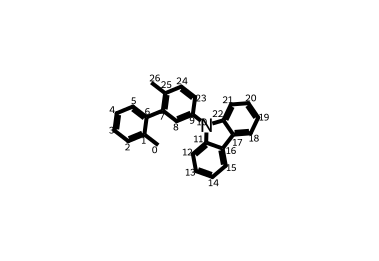 Cc1ccccc1-c1cc(-n2c3ccccc3c3ccccc32)ccc1C